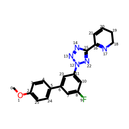 COc1ccc(-c2cc(F)cc(-n3nnc(C4=NCCC=C4)n3)c2)cc1